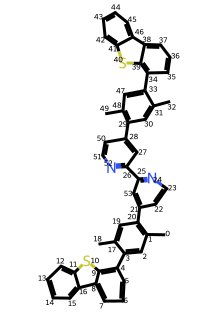 Cc1cc(-c2cccc3c2sc2ccccc23)c(C)cc1-c1ccnc(-c2cc(-c3cc(C)c(-c4cccc5c4sc4ccccc45)cc3C)ccn2)c1